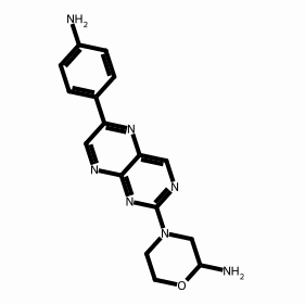 Nc1ccc(-c2cnc3nc(N4CCOC(N)C4)ncc3n2)cc1